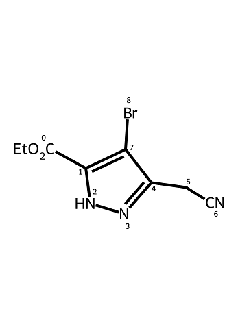 CCOC(=O)c1[nH]nc(CC#N)c1Br